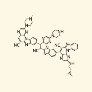 C[C@@H]1CN(c2cnc3c(-c4ccc5c(c4)nc4c(C#N)cc6ncc(N7CCN(C)CC7)nc6n45)c(C#N)c4nc5ccc(-c6c(C#N)c7nc8ccccc8n7c7nc(NCCN(C)C)cnc67)cc5n4c3n2)C[C@H](C)N1